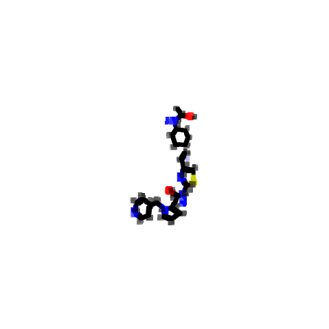 CC(=O)N[C@H]1CC[C@H](/C=C/c2csc(NC(=O)c3cccn3Cc3ccncc3)n2)CC1